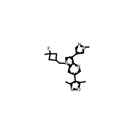 Cc1noc(C)c1-c1cnc2c(-c3cnn(C)c3)cn(CC3CC(C)(F)C3)c2c1